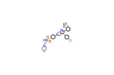 O=S(=O)(NCCN1CCOCC1)c1ccc(N2Cc3nn(-c4ccccc4OC(F)(F)F)c(-c4ccc(Cl)cc4)c3C2)cc1